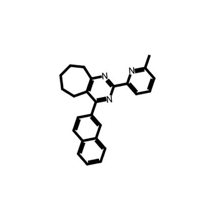 Cc1cccc(-c2nc3c(c(-c4ccc5ccccc5c4)n2)CCCCC3)n1